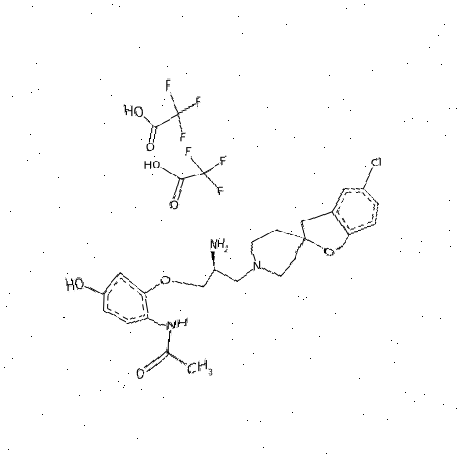 CC(=O)Nc1ccc(O)cc1OC[C@@H](N)CN1CCC2(CC1)Cc1cc(Cl)ccc1O2.O=C(O)C(F)(F)F.O=C(O)C(F)(F)F